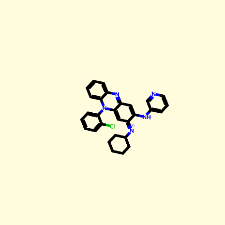 Clc1ccccc1-n1c2c/c(=N\C3CCCCC3)c(Nc3cccnc3)cc-2nc2ccccc21